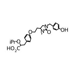 CC(C)OC(Cc1ccc(OCCC2CN(Cc3ccc(O)cc3)C(=O)N2C)cc1)C(=O)O